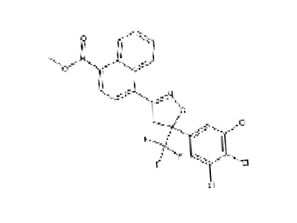 COC(=O)c1ccc(C2=NOC(c3cc(Cl)c(Cl)c(Cl)c3)(C(F)(F)F)C2)c2ccccc12